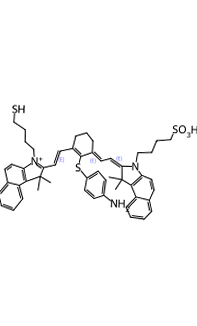 CC1(C)C(/C=C/C2=C(Sc3ccc(N)cc3)C(=C/C=C3/N(CCCCS(=O)(=O)O)c4ccc5ccccc5c4C3(C)C)/CCC2)=[N+](CCCCS)c2ccc3ccccc3c21